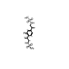 CCCS(=O)(=O)NCC(C)c1ccc(C(C)CNS(=O)(=O)CCC)c(F)c1